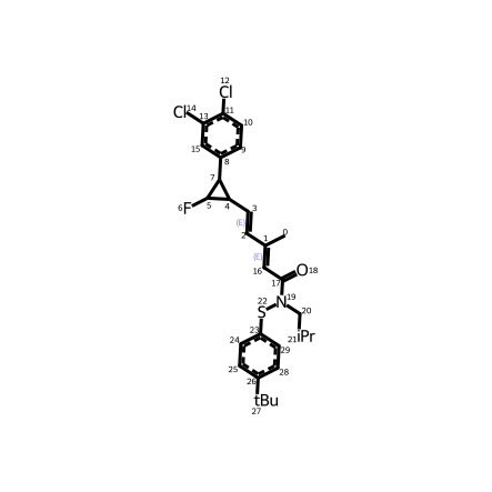 CC(/C=C/C1C(F)C1c1ccc(Cl)c(Cl)c1)=C\C(=O)N(CC(C)C)Sc1ccc(C(C)(C)C)cc1